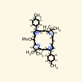 COc1c2nc(cc3[nH]c(cc4nc(cc5[nH]c1cc5-c1ccc(C)cc1)C(C)(C)C4)cc3-c1ccc(C)cc1)C(C)(C)C2